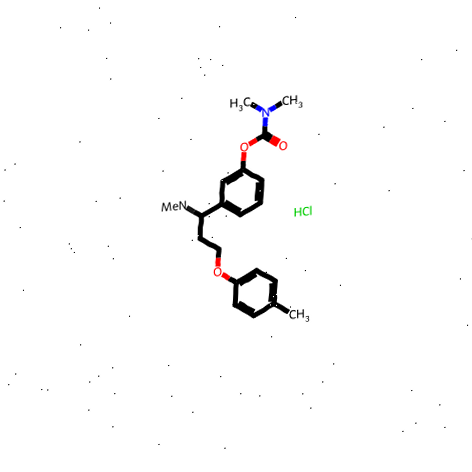 CNC(CCOc1ccc(C)cc1)c1cccc(OC(=O)N(C)C)c1.Cl